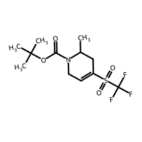 CC1CC(S(=O)(=O)C(F)(F)F)=CCN1C(=O)OC(C)(C)C